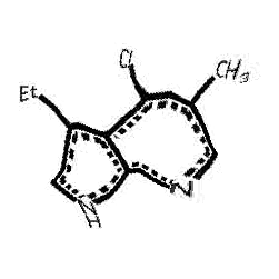 CCc1c[nH]c2ncc(C)c(Cl)c12